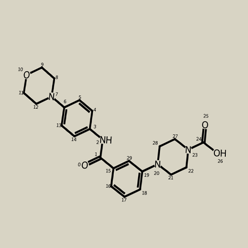 O=C(Nc1ccc(N2CCOCC2)cc1)c1cccc(N2CCN(C(=O)O)CC2)c1